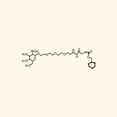 CC(=O)NC1C(OCCOCCOCCOCCNNC(=O)CNC(=O)OCc2ccccc2)OC(COC(C)=O)C(OC(C)=O)C1OC(C)=O